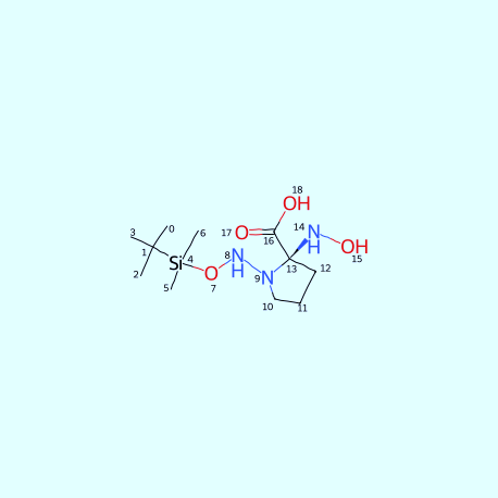 CC(C)(C)[Si](C)(C)ONN1CCC[C@@]1(NO)C(=O)O